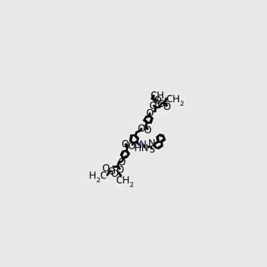 C=CC(=O)OCC(COc1ccc(C(=O)OCCc2ccc(OC(=O)c3ccc(OCC(COC(=O)C=C)OC(=O)C=C)cc3)c(/C=N/Nc3nc4c(ccc5ccccc54)s3)c2)cc1)OC(=O)C=C